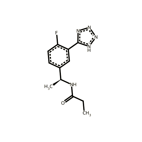 CCC(=O)N[C@@H](C)c1ccc(F)c(-c2nnn[nH]2)c1